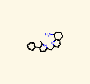 Cc1nc(Cc2ccc3c(n2)C(N)CCC3)ccc1-c1ccccc1